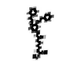 N=C(N)NCCNC[C@@H](O)COc1ccc(OCCc2ccccc2)c(OCCc2ccccc2)c1